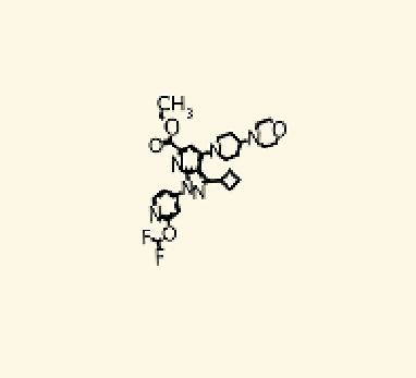 CCOC(=O)c1cc(N2CCC(N3CCOCC3)CC2)c2c(C3CCC3)nn(-c3ccnc(OC(F)F)c3)c2n1